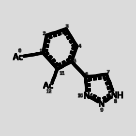 CC(=O)c1cccc(-c2c[nH]nn2)c1C(C)=O